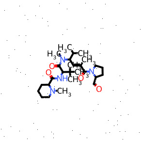 C/C(=C\C(C(C)C)N(C)C(=O)C(NC(=O)C1CCCCN1C)C(C)(C)C)C(=O)N1CCCC1C=O